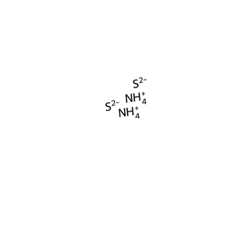 [NH4+].[NH4+].[S-2].[S-2]